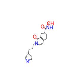 O=C(NO)c1ccc2ccn(CCCc3ccncc3)c(=O)c2c1